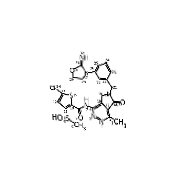 CS(=O)(=O)O.Cc1nnc(NC(=O)c2ccc(Cl)s2)c2c1C(=O)N(Cc1cccc(N3CCOC3=N)c1)C2